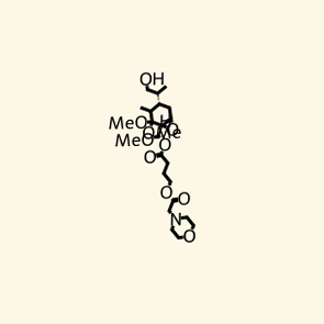 COC(OC(=O)CCCOC(=O)CN1CCOCC1)[C@]12O[C@H]1C[C@@H](C(C)CO)C(C)C2(OC)OC